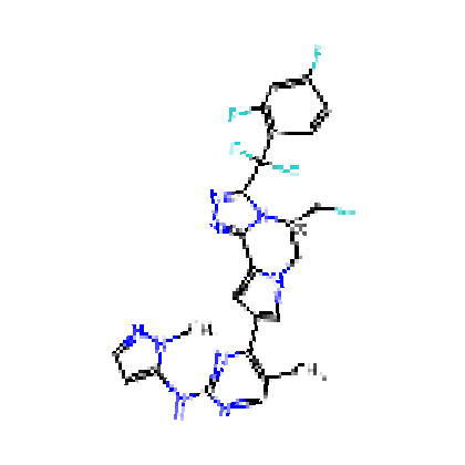 Cc1cnc(Nc2ccnn2C)nc1-c1cc2n(c1)C[C@H](CF)n1c-2nnc1C(F)(F)c1ccc(F)cc1F